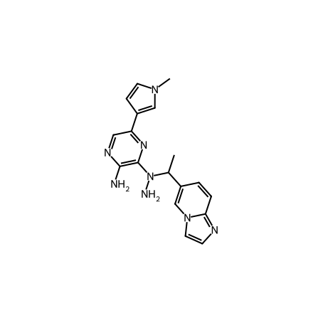 CC(c1ccc2nccn2c1)N(N)c1nc(-c2ccn(C)c2)cnc1N